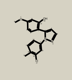 COc1ccc(-c2ccnn2-c2ccc(C)c(Cl)c2)c(O)c1